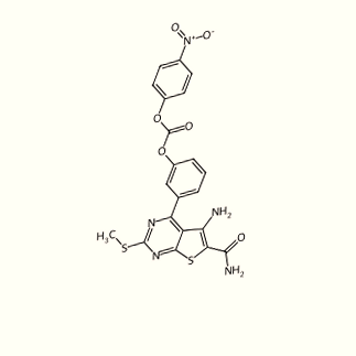 CSc1nc(-c2cccc(OC(=O)Oc3ccc([N+](=O)[O-])cc3)c2)c2c(N)c(C(N)=O)sc2n1